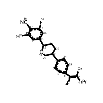 CCC/C(F)=C(\F)c1ccc(C2CCC(c3cc(F)c(C#N)c(F)c3)OC2)cc1